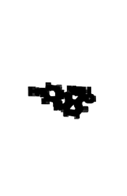 CCN1CCN2C(=Nc3cccc4c(=O)[nH]nc2c34)C1